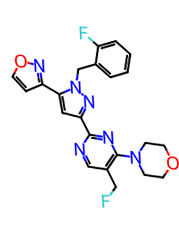 FCc1cnc(-c2cc(-c3ccon3)n(Cc3ccccc3F)n2)nc1N1CCOCC1